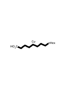 CCCCCCCCCCCCCC(=O)O.[Cu]